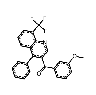 COc1cccc(C(=O)c2cnc3c(C(F)(F)F)cccc3c2-c2ccccc2)c1